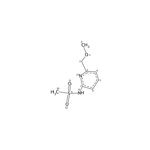 COCc1cccc(NS(C)(=O)=O)n1